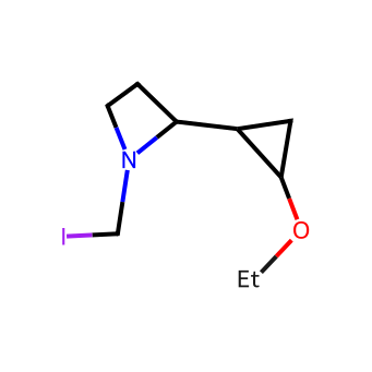 CCOC1CC1C1CCN1CI